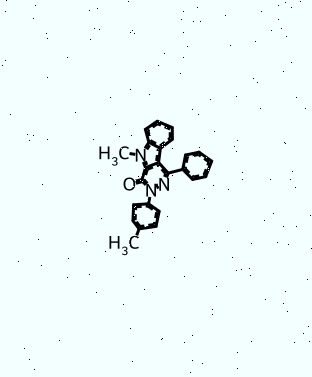 Cc1ccc(-n2nc(-c3ccccc3)c3c4ccccc4n(C)c3c2=O)cc1